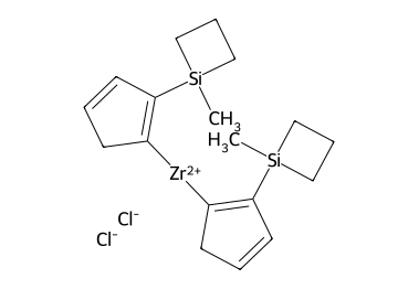 C[Si]1(C2=[C]([Zr+2][C]3=C([Si]4(C)CCC4)C=CC3)CC=C2)CCC1.[Cl-].[Cl-]